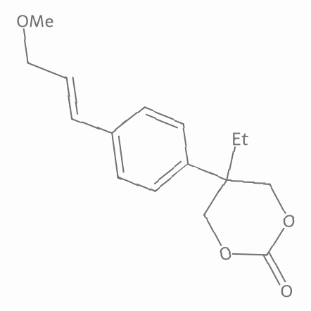 CCC1(c2ccc(C=CCOC)cc2)COC(=O)OC1